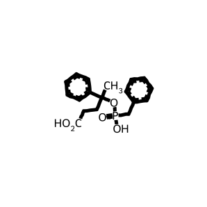 CC(CCC(=O)O)(OP(=O)(O)Cc1ccccc1)c1ccccc1